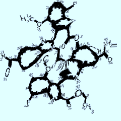 CCOC(=O)c1sc2c(F)ccc(OC)c2c1-c1nc2cc(C(N)=O)ccc2n1CCn1c(-c2c(C(=O)OCC)sc3c(F)ccc(OC)c23)nc2cc(C(N)=O)ccc21